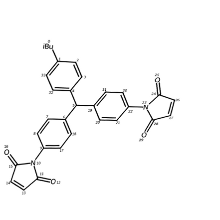 CCC(C)c1ccc(C(c2ccc(N3C(=O)C=CC3=O)cc2)c2ccc(N3C(=O)C=CC3=O)cc2)cc1